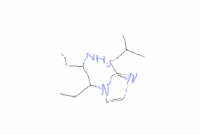 CCC(N)C(CC)n1ccnc1CC(C)C